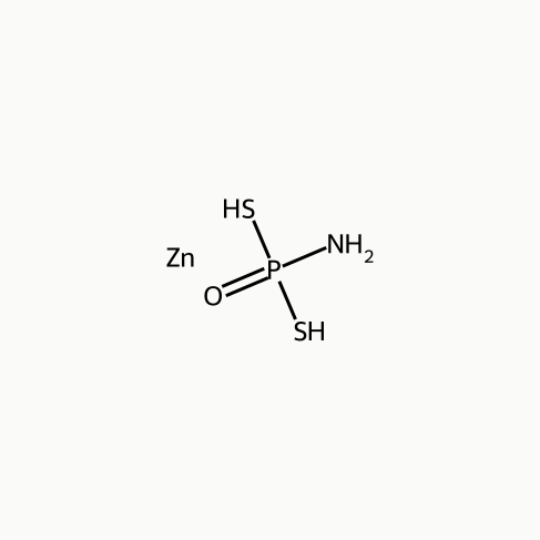 NP(=O)(S)S.[Zn]